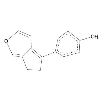 Oc1ccc(C2=C3C=COC=C3CC2)cc1